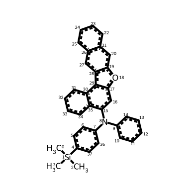 C[Si](C)(C)c1ccc(N(c2ccccc2)c2cc3oc4cc5ccccc5cc4c3c3ccccc23)cc1